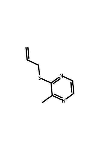 C=CCSc1nccnc1C